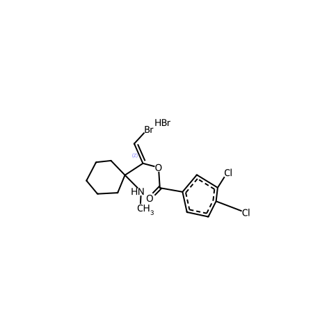 Br.CNC1(/C(=C/Br)OC(=O)c2ccc(Cl)c(Cl)c2)CCCCC1